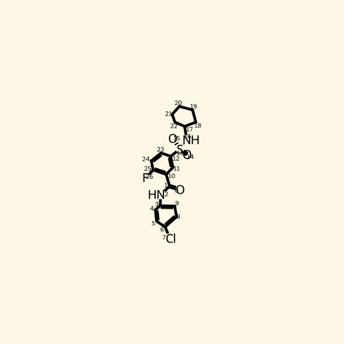 O=C(Nc1ccc(Cl)cc1)c1cc(S(=O)(=O)NC2CCCCC2)ccc1F